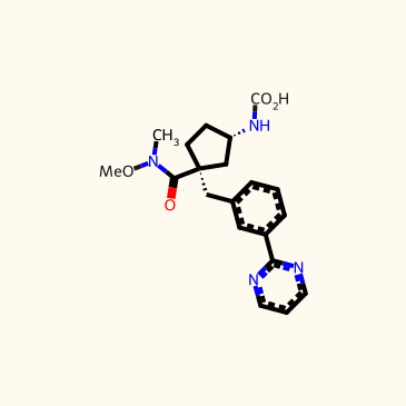 CON(C)C(=O)[C@@]1(Cc2cccc(-c3ncccn3)c2)CC[C@H](NC(=O)O)C1